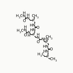 CCP(CC)CNC(=O)NCP(CC)CNC(=O)NCP(CNC(=O)NC)CNC(=O)NCP(CC)CNC(=O)NC